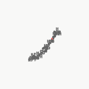 CC1(C(=O)NCCCNC(=O)CCCCC2SCC3NC(=O)NC32)C/C=C/C(OC(=O)NCCNC(=O)c2c(F)c(F)c(N=[N+]=[N-])c(F)c2F)CCC1